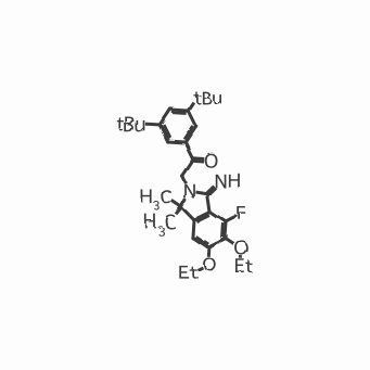 CCOc1cc2c(c(F)c1OCC)C(=N)N(CC(=O)c1cc(C(C)(C)C)cc(C(C)(C)C)c1)C2(C)C